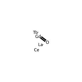 [Ce].[La].[O]=[Gd].[Tb]